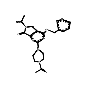 CC(=O)N1CCN(c2nc(NCc3cccnc3)c3c(n2)C(=O)N(C(C)C)C3)CC1